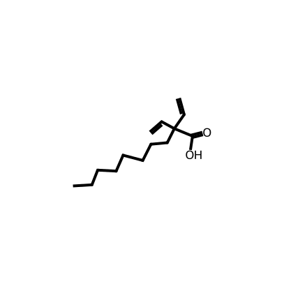 C=CC(C=C)(CCCCCCCC)C(=O)O